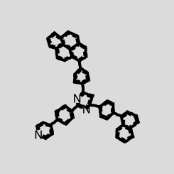 c1ccc2c(-c3ccc(-c4cc(-c5ccc(-c6ccc7ccc8cccc9ccc6c7c89)cc5)nc(-c5ccc(-c6ccncc6)cc5)n4)cc3)cccc2c1